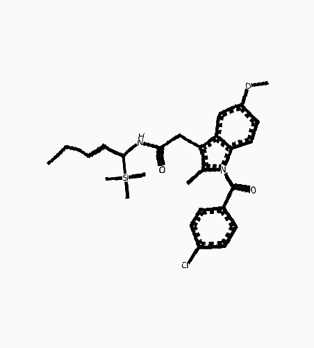 CCCCC(NC(=O)Cc1c(C)n(C(=O)c2ccc(Cl)cc2)c2ccc(OC)cc12)[Si](C)(C)C